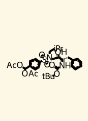 CC(=O)OC(OC(C)=O)c1ccc(S(=O)(=O)N(CC(C)C)C[C@@H](O)[C@H](Cc2ccccc2)NC(=O)OC(C)(C)C)cc1